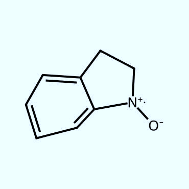 [O-][N+]1CCc2ccccc21